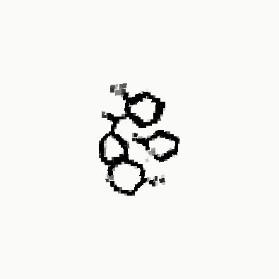 O=C(c1ccc2c(c1)[C@H](n1ccccc1=O)[C@@H](O)CCO2)c1ccccc1C(F)(F)F